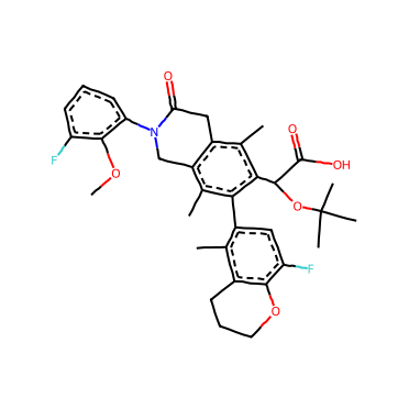 COc1c(F)cccc1N1Cc2c(C)c(-c3cc(F)c4c(c3C)CCCO4)c(C(OC(C)(C)C)C(=O)O)c(C)c2CC1=O